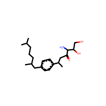 CC(C)CCCC(C)Cc1ccc(C(C)CC(=O)C(N)C(O)CO)cc1